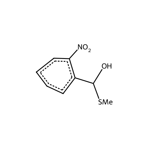 CSC(O)c1ccccc1[N+](=O)[O-]